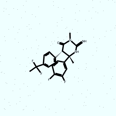 CN1C(=N)N[C@](C)(c2ccc(F)c(F)c2)[C@H](c2ccc(C(C)(F)F)cc2)C1=O